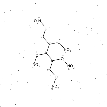 O=[N+]([O-])OCC(O[N+](=O)[O-])C(O[N+](=O)[O-])C(CO[N+](=O)[O-])O[N+](=O)[O-]